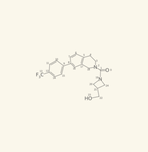 O=C(N1CCc2ccc(-c3ccc(C(F)(F)F)cc3)cc2C1)N1CC(CO)C1